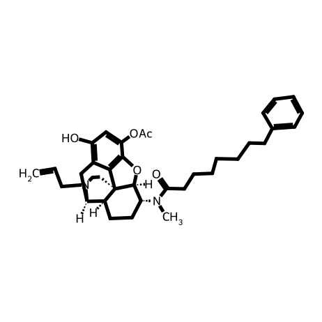 C=CCN1CC[C@]23c4c5c(O)cc(OC(C)=O)c4O[C@H]2[C@H](N(C)C(=O)CCCCCCCc2ccccc2)CC[C@H]3[C@H]1C5